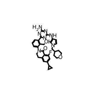 Nc1nc(Nc2ccn(CC3CCOCC3)c2)nc(-c2cccc(N3CCc4cc(C5CC5)cc(F)c4C3=O)c2CO)n1